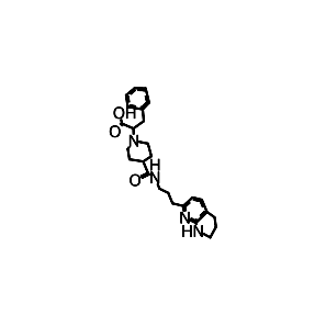 O=C(NCCCc1ccc2c(n1)NCCC2)C1CCN(C(Cc2ccccc2)C(=O)O)CC1